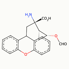 N[C@](CC1c2ccccc2Oc2ccccc21)(C(=O)O)[C@H]1C[C@H]1OC=O